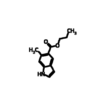 CCCOC(=O)c1cc2cc[nH]c2cc1C